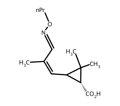 CCCON=CC(C)=CC1[C@@H](C(=O)O)C1(C)C